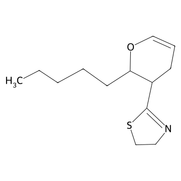 CCCCCC1OC=CCC1C1=NCCS1